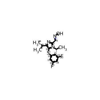 CCn1c(/C=N/O)nc(C(C)C)c1Sc1cc(F)cc(F)c1